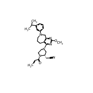 C=CC(=O)N1CCN(c2nc(OC)nc3c2CCCN(c2cccc(C(C)C)c2)C3)C[C@@H]1CC#N